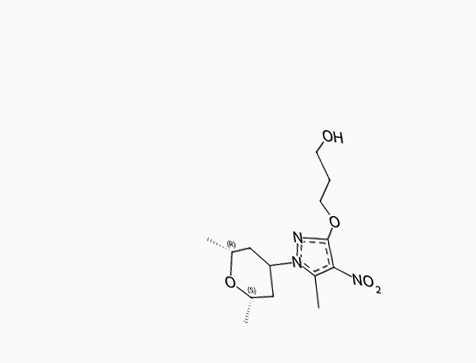 Cc1c([N+](=O)[O-])c(OCCCO)nn1C1C[C@@H](C)O[C@@H](C)C1